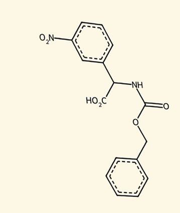 O=C(NC(C(=O)O)c1cccc([N+](=O)[O-])c1)OCc1ccccc1